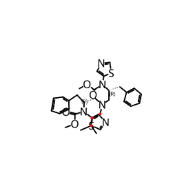 COC(=O)N(c1cncs1)[C@H](Cc1ccccc1)CN(CCC(C)C)C[C@@H](Cc1ccccc1)N(C(=O)OC)c1cncs1